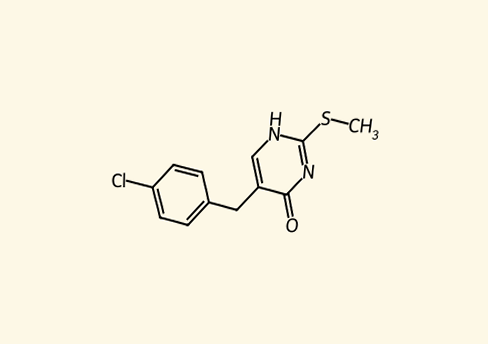 CSc1nc(=O)c(Cc2ccc(Cl)cc2)c[nH]1